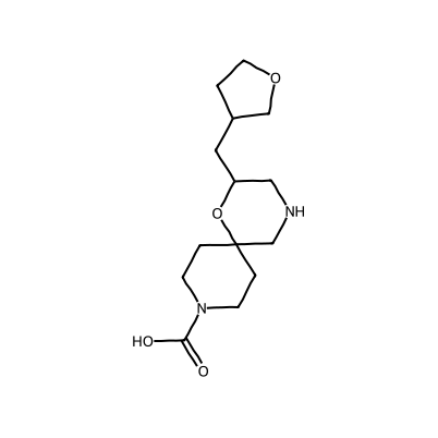 O=C(O)N1CCC2(CC1)CNCC(CC1CCOC1)O2